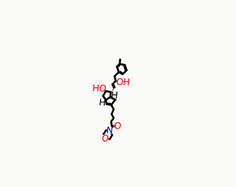 Cc1cccc(C[C@@H](O)/C=C/[C@@H]2[C@H]3CC(CCCCC(=O)N4CCOCC4)=C[C@H]3C[C@H]2O)c1